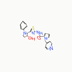 O=C(Nc1nc([C@H]2[C@@H](O)CCN2c2ccccc2)cs1)c1cccn1Cc1ccncc1